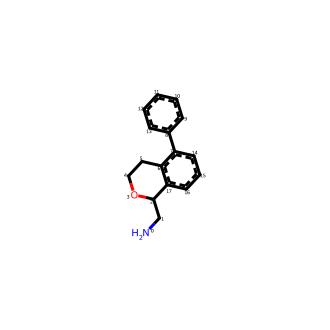 NCC1OCCc2c(-c3ccccc3)cccc21